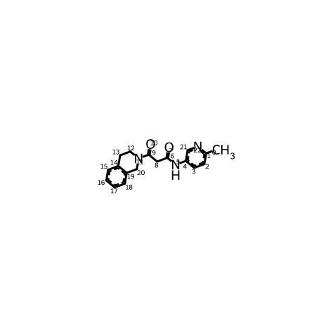 Cc1ccc(NC(=O)CC(=O)N2CCc3ccccc3C2)cn1